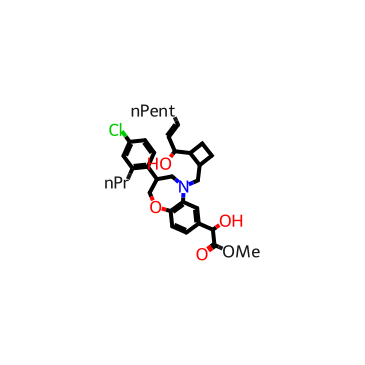 CCCCC/C=C/C(O)C1CCC1CN1CC(c2ccc(Cl)cc2CCC)COc2ccc(C(O)C(=O)OC)cc21